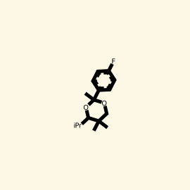 CC(C)C1OC(C)(c2ccc(F)cc2)OCC1(C)C